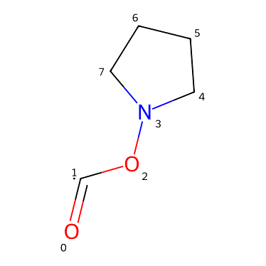 O=[C]ON1CCCC1